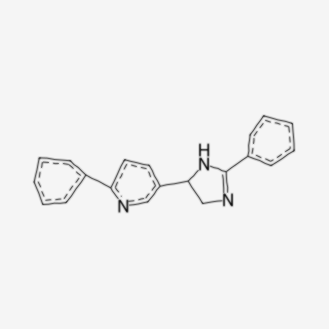 c1ccc(C2=NCC(c3ccc(-c4ccccc4)nc3)N2)cc1